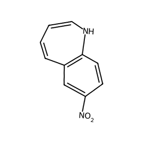 O=[N+]([O-])c1ccc2c(c1)C=CC=CN2